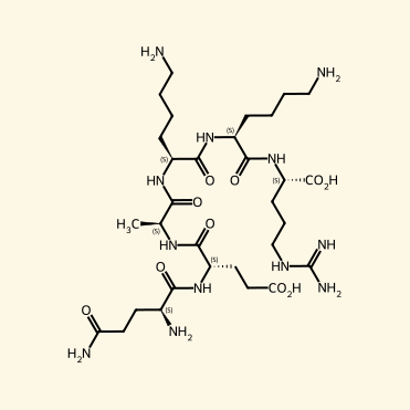 C[C@H](NC(=O)[C@H](CCC(=O)O)NC(=O)[C@@H](N)CCC(N)=O)C(=O)N[C@@H](CCCCN)C(=O)N[C@@H](CCCCN)C(=O)N[C@@H](CCCNC(=N)N)C(=O)O